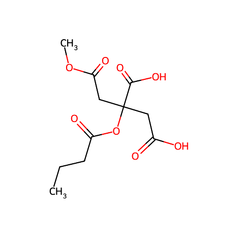 CCCC(=O)OC(CC(=O)O)(CC(=O)OC)C(=O)O